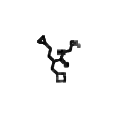 CCNC(=O)C(CCC1CC1)CC1CCC1